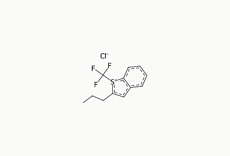 CCCc1cc2ccccc2[s+]1C(F)(F)F.[Cl-]